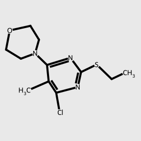 CCSc1nc(Cl)c(C)c(N2CCOCC2)n1